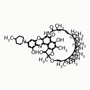 C/C1=C/C=C/[C@H](C)[C@H](O)[C@@H](C)[C@@H](O)[C@@H](C)[C@H](O)[C@H](C)[C@@H](C)/C=C/O[C@@]2(C)Oc3c(C)c(O)c4c(=O)c(c5oc6cc(N7CCC(C)CC7)cc(O)c6nc-5c4c3C2=O)NC1=O